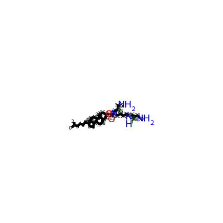 CC(C)CCCCC1CCC2C3CC=C4CC(OC(=O)N(CCCCNCC(F)CN)CC(F)CN)CCC4(C)C3CCC12C